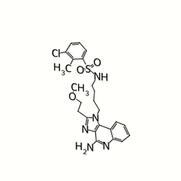 COCCc1nc2c(N)nc3ccccc3c2n1CCCCNS(=O)(=O)c1cccc(Cl)c1C